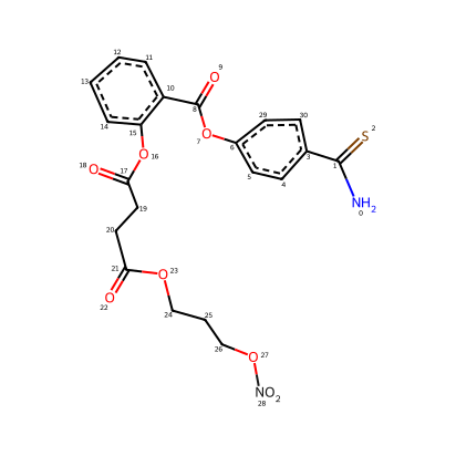 NC(=S)c1ccc(OC(=O)c2ccccc2OC(=O)CCC(=O)OCCCO[N+](=O)[O-])cc1